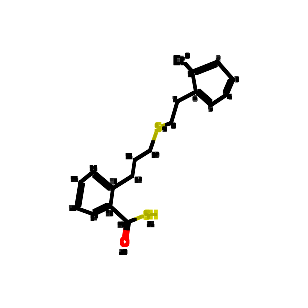 CCc1ccccc1CCSCCCc1ccccc1C(=O)S